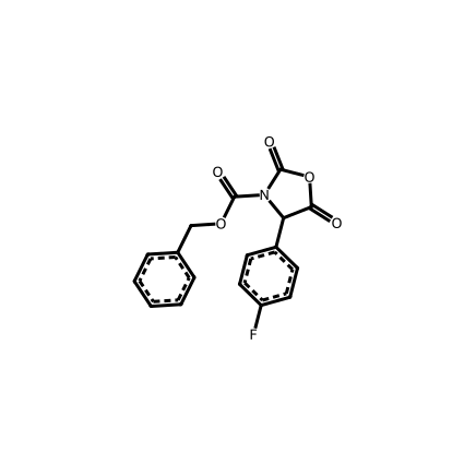 O=C1OC(=O)N(C(=O)OCc2ccccc2)C1c1ccc(F)cc1